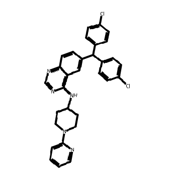 Clc1ccc(C(c2ccc(Cl)cc2)c2ccc3ncnc(NC4CCN(c5ccccn5)CC4)c3c2)cc1